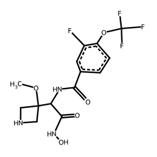 COC1(C(NC(=O)c2ccc(OC(F)(F)F)c(F)c2)C(=O)NO)CNC1